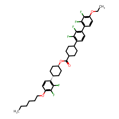 CCCCCCOc1ccc([C@H]2CC[C@H](OC(=O)C3CCC(c4ccc(-c5ccc(OCC)c(F)c5F)c(F)c4F)CC3)CC2)c(F)c1F